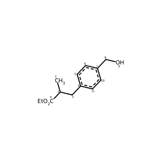 CCOC(=O)C(C)Cc1ccc(CO)cc1